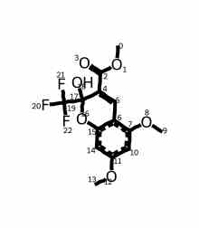 COC(=O)C1=Cc2c(OC)cc(OC)cc2OC1(O)C(F)(F)F